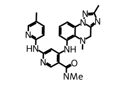 CNC(=O)c1cnc(Nc2ccc(C)cn2)cc1Nc1cccc2c1N(C)Cc1nc(C)nn1-2